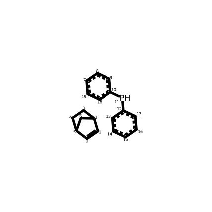 C1=CC2CCC1C2.c1ccc(Pc2ccccc2)cc1